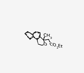 CCOC(=O)CC1(C)OCCc2c1ccc1ccccc21